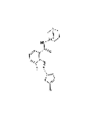 O=C(NC1CN2CCC1CC2)c1cccc2oc(-c3ccc(Br)s3)nc12